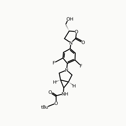 CC(C)(C)OC(=O)NC1[C@H]2CN(c3c(F)cc(N4C[C@H](CO)OC4=O)cc3F)C[C@@H]12